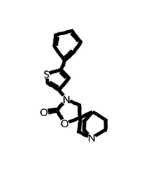 O=C1OC2(CN3CCC2CC3)CN1c1csc(-c2ccccc2)c1